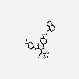 CCC(C(=O)O)N(Cc1ccc(OCCN2CCCc3ccccc32)cc1)C(=O)Oc1ccc(OC)cc1